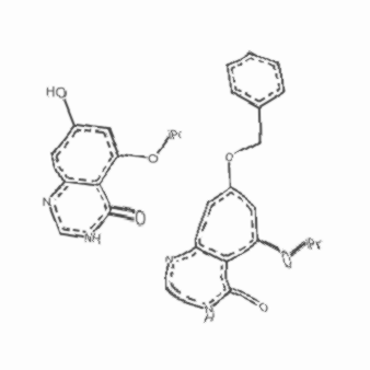 CC(C)Oc1cc(O)cc2nc[nH]c(=O)c12.CC(C)Oc1cc(OCc2ccccc2)cc2nc[nH]c(=O)c12